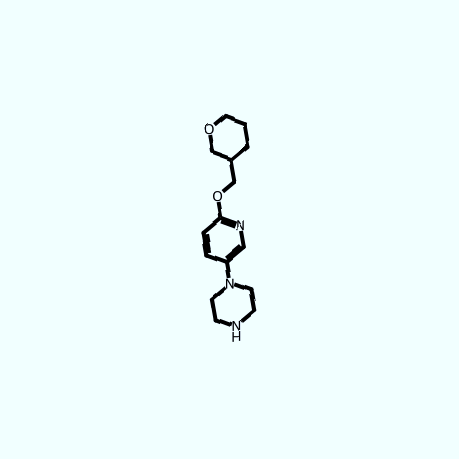 c1cc(OCC2CCCOC2)ncc1N1CCNCC1